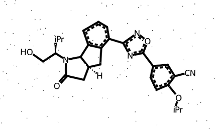 CC(C)Oc1ccc(-c2nc(-c3cccc4c3C[C@H]3CC(=O)N([C@@H](CO)C(C)C)C43)no2)cc1C#N